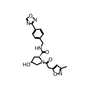 Cc1cc(CC(=O)N2C[C@H](O)C[C@H]2C(=O)NCc2ccc(-c3ncon3)cc2)on1